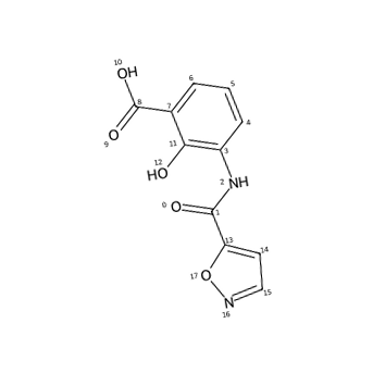 O=C(Nc1cccc(C(=O)O)c1O)c1ccno1